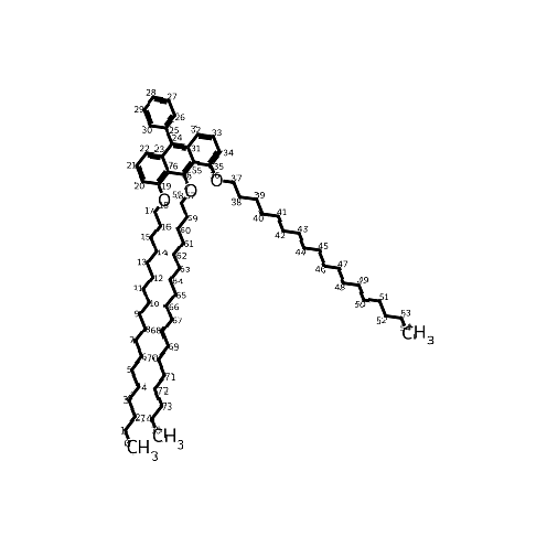 CCCCCCCCCCCCCCCCCCOc1cccc2c(-c3ccccc3)c3cccc(OCCCCCCCCCCCCCCCCCC)c3c(OCCCCCCCCCCCCCCCCCC)c12